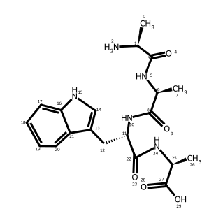 C[C@H](N)C(=O)N[C@@H](C)C(=O)N[C@@H](Cc1c[nH]c2ccccc12)C(=O)N[C@@H](C)C(=O)O